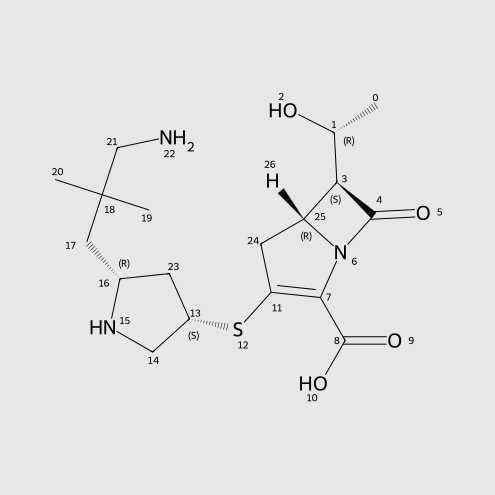 C[C@@H](O)[C@H]1C(=O)N2C(C(=O)O)=C(S[C@@H]3CN[C@H](CC(C)(C)CN)C3)C[C@H]12